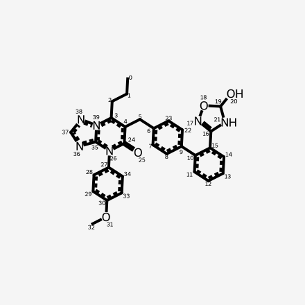 CCCc1c(Cc2ccc(-c3ccccc3C3=NOC(O)N3)cc2)c(=O)n(-c2ccc(OC)cc2)c2ncnn12